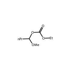 CCCC(OC)OC(=O)OCC